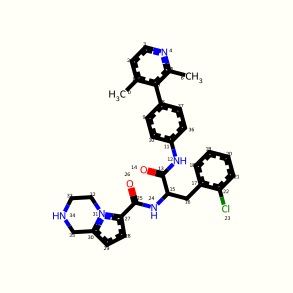 Cc1ccnc(C)c1-c1ccc(NC(=O)C(Cc2ccccc2Cl)NC(=O)c2ccc3n2CCNC3)cc1